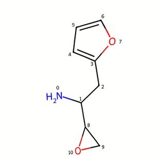 NC(Cc1ccco1)C1CO1